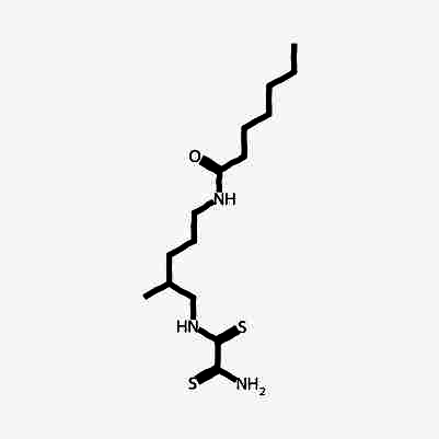 CCCCCCC(=O)NCCCC(C)CNC(=S)C(N)=S